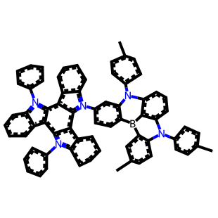 Cc1ccc(N2c3ccc(C)cc3B3c4ccc(-n5c6ccccc6c6c7c(c8ccccc8n7-c7ccccc7)c7c(c8ccccc8n7-c7ccccc7)c65)cc4N(c4ccc(C)cc4)c4cccc2c43)cc1